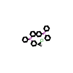 Cl[CH]1[CH2][Ir]1.c1ccc(P(c2ccccc2)c2ccccc2)cc1.c1ccc(P(c2ccccc2)c2ccccc2)cc1